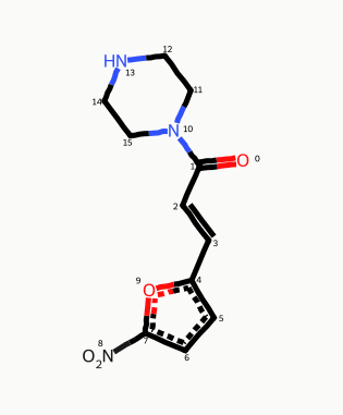 O=C(C=Cc1ccc([N+](=O)[O-])o1)N1CCNCC1